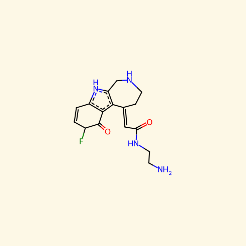 NCCNC(=O)C=C1CCNCc2[nH]c3c(c21)C(=O)C(F)C=C3